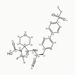 CCS(=O)(=O)c1ccc(-c2ccc(C[C@@H](C#N)NC(=O)C3(N(C(=O)O)C(C)(C)C)CCOCC3)cc2)cc1